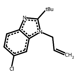 C=CCn1c(C(C)(C)C)nc2ccc(Cl)cc21